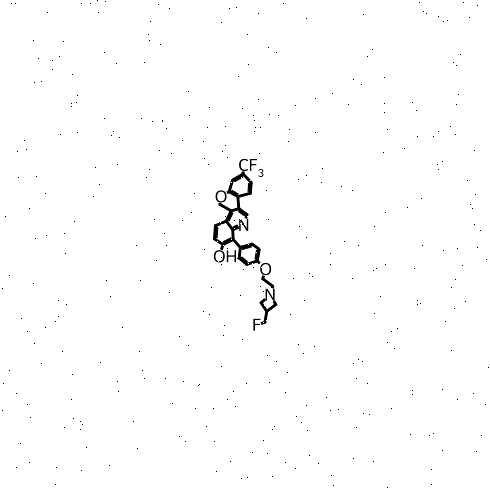 Oc1ccc2c3c(cnc2c1-c1ccc(OCCN2CC(CF)C2)cc1)-c1ccc(C(F)(F)F)cc1OC3